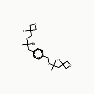 CCC1(COC(C)(CC)Cc2ccc(COC(C)(C)CC3(CC)COC3)cc2)COC1